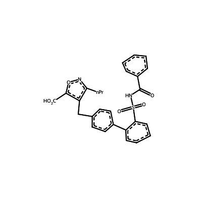 CCCc1noc(C(=O)O)c1Cc1ccc(-c2ccccc2S(=O)(=O)NC(=O)c2ccccc2)cc1